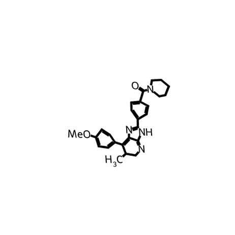 COc1ccc(C2=c3nc(-c4ccc(C(=O)N5CCCCC5)cc4)[nH]c3=NCC2C)cc1